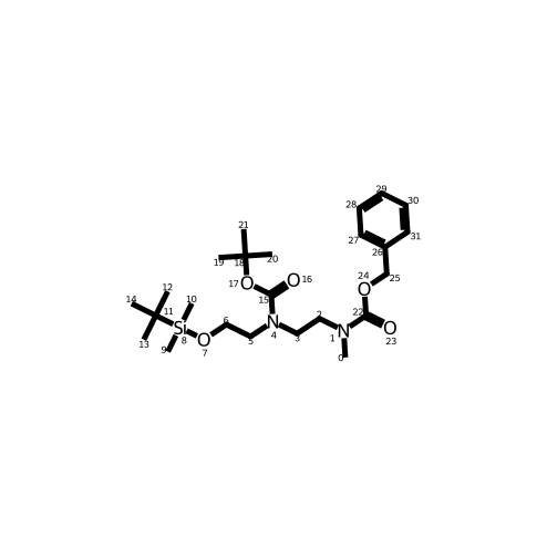 CN(CCN(CCO[Si](C)(C)C(C)(C)C)C(=O)OC(C)(C)C)C(=O)OCc1ccccc1